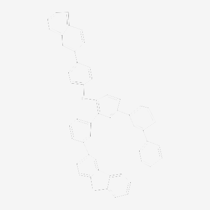 c1ccc(-c2cccc(-c3ccc(Nc4ccc(-c5ccc6ccccc6c5)cc4)c(-c4cccc(-c5ccc6sc7ccccc7c6c5)c4)c3)c2)cc1